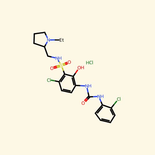 CCN1CCCC1CNS(=O)(=O)c1c(Cl)ccc(NC(=O)Nc2ccccc2Cl)c1O.Cl